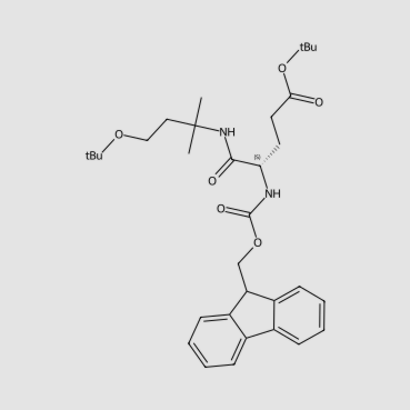 CC(C)(CCOC(C)(C)C)NC(=O)[C@H](CCC(=O)OC(C)(C)C)NC(=O)OCC1c2ccccc2-c2ccccc21